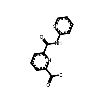 O=C(Cl)c1cccc(C(=O)Nc2ccccn2)n1